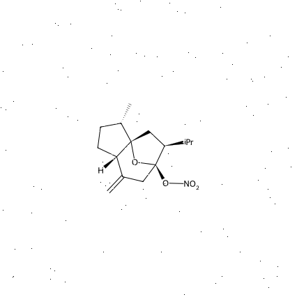 C=C1C[C@]2(O[N+](=O)[O-])O[C@@]3(C[C@H]2C(C)C)[C@@H](C)CC[C@@H]13